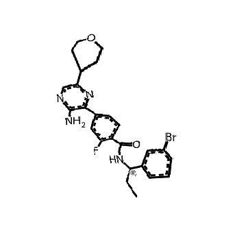 CC[C@@H](NC(=O)c1ccc(-c2nc(C3CCOCC3)cnc2N)cc1F)c1cccc(Br)c1